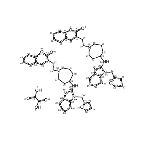 O=C(O)C(=O)O.O=c1oc2ccccc2cc1CCN1CCCC(Nc2nc3cccnc3n2Cc2ccco2)CC1.O=c1oc2ccccc2cc1CCN1CCCC(Nc2nc3cccnc3n2Cc2ccco2)CC1